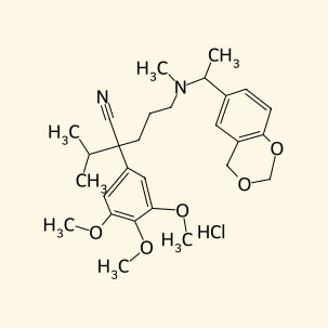 COc1cc(C(C#N)(CCCN(C)C(C)c2ccc3c(c2)COCO3)C(C)C)cc(OC)c1OC.Cl